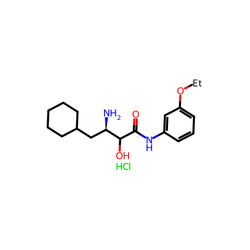 CCOc1cccc(NC(=O)C(O)[C@H](N)CC2CCCCC2)c1.Cl